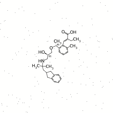 CCC(=Cc1c(C)cccc1[C@@H](C)OC[C@H](O)CNC(C)(C)CC1Cc2ccccc2C1)C(=O)O